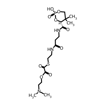 CN(C)CCOC(=O)C(=O)SCCNC(=O)CCNC(=O)[C@@H]1OP(=O)(O)OCC1(C)C